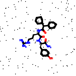 N=C(N)NCCC[C@@H](NC(=O)C(c1ccccc1)c1ccccc1)C(=O)N[C@@H](Cc1ccc(O)cc1)C(N)=O